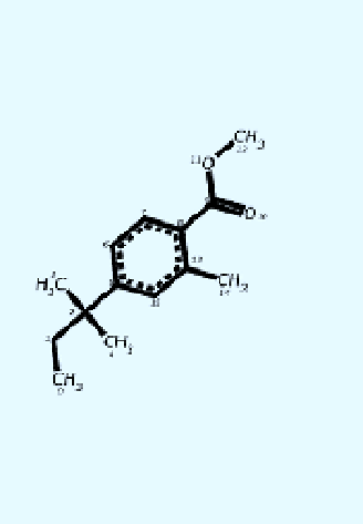 CCC(C)(C)c1ccc(C(=O)OC)c(C)c1